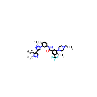 CCN1CCN(c2cc(C(=O)Nc3ccc(C)c(-n4cc(-c5cnn(C)c5C)nn4)c3)cc(C(F)(F)F)c2C)CC1